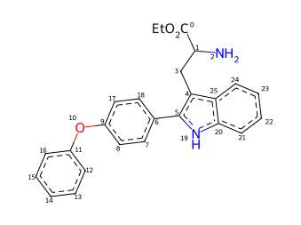 CCOC(=O)C(N)Cc1c(-c2ccc(Oc3ccccc3)cc2)[nH]c2ccccc12